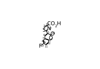 O=C(O)c1csc(-c2cc3cc(F)ccc3oc2=O)n1